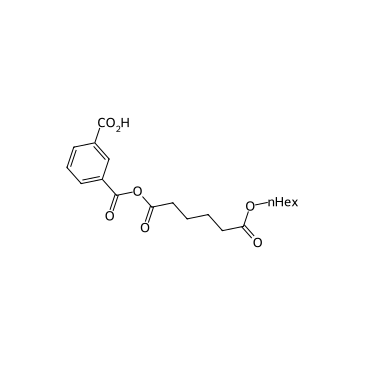 CCCCCCOC(=O)CCCCC(=O)OC(=O)c1cccc(C(=O)O)c1